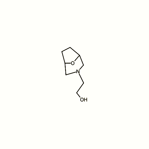 OCCN1CC2CCC(C1)O2